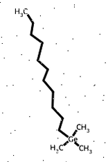 CCCCCCCCCC[CH][Ge]([CH3])([CH3])[CH3]